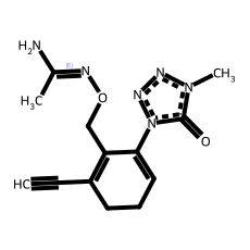 C#CC1=C(CO/N=C(\C)N)C(n2nnn(C)c2=O)=CCC1